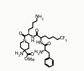 COC(=O)C1(N)CCN(C(=O)[C@@H](CCCCN)NC(=O)C(CCCCC(F)(F)F)NC(=O)[C@H](N)Cc2ccccc2)CC1